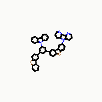 C1=CC2Sc3ccc(-c4cc(-c5ccc6sc7ccc(-n8c9cccnc9c9ncccc98)cc7c6c5)cc(-n5c6ccccc6c6ccccc65)c4)cc3C2C=C1